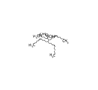 CCCCC/C=C\CCCC(CCC/C=C\CCCCC)C(CCC/C=C\CCCCC)C(CCCN(C)C)C(=O)O